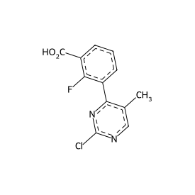 Cc1cnc(Cl)nc1-c1cccc(C(=O)O)c1F